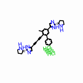 Cc1cc(-c2cnc([C@@H]3CCCN3)[nH]2)cc(-c2ccccc2)c1C#CC#Cc1cnc([C@@H]2CCCN2)[nH]1.Cl.Cl.Cl.Cl